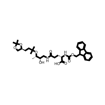 C[C@H](OC(C)(C)CC[C@H]1COC(C)(C)O1)[C@@H](O)CNC(=O)CC[C@H](NC(=O)OCC1c2ccccc2-c2ccccc21)C(=O)O